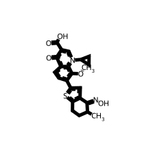 COc1c(-c2cc3c(s2)CCC(C)C3=NO)ccc2c(=O)c(C(=O)O)cn(C3CC3)c12